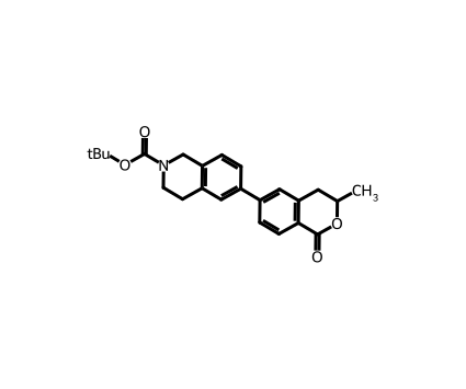 CC1Cc2cc(-c3ccc4c(c3)CCN(C(=O)OC(C)(C)C)C4)ccc2C(=O)O1